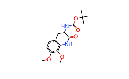 COc1ccc2c(c1OC)NC(=O)C(NC(=O)OC(C)(C)C)C2